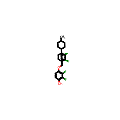 CC1CCC(C23CCC(COc4ccc(O)c(F)c4F)(CC2)C(F)=C3F)CC1